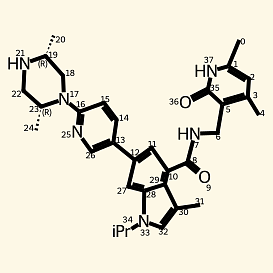 Cc1cc(C)c(CNC(=O)c2cc(-c3ccc(N4C[C@@H](C)NC[C@H]4C)nc3)cc3c2c(C)cn3C(C)C)c(=O)[nH]1